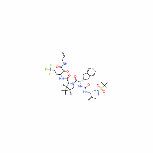 C=CCNC(=O)C(=O)C(CCC(F)(F)F)NC(=O)[C@@H]1[C@@H]2[C@H](CN1C(=O)[C@@H](NC(=O)N[C@H](CN(C)S(=O)(=O)C(C)(C)C)C(=C)C)C1Cc3ccccc3C1)C2(C)C